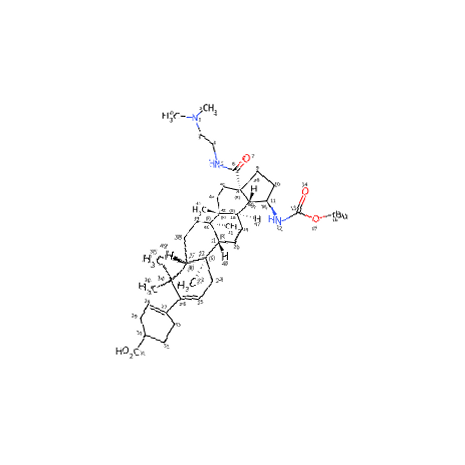 CN(C)CCNC(=O)[C@]12CC[C@@H](NC(=O)OC(C)(C)C)[C@@H]1[C@H]1CC[C@@H]3[C@@]4(C)CC=C(C5=CCC(C(=O)O)CC5)C(C)(C)[C@@H]4CC[C@@]3(C)[C@]1(C)CC2